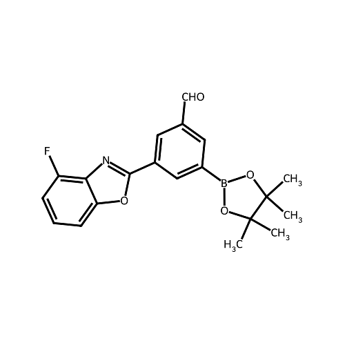 CC1(C)OB(c2cc(C=O)cc(-c3nc4c(F)cccc4o3)c2)OC1(C)C